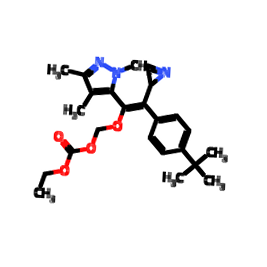 CCOC(=O)OCO/C(=C(\c1ccc(C(C)(C)C)cc1)C1C=N1)c1c(C)c(C)nn1C